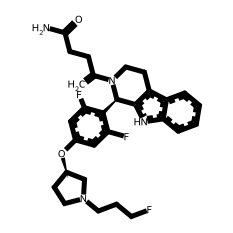 C=C(CCC(N)=O)N1CCc2c([nH]c3ccccc23)[C@H]1c1c(F)cc(O[C@@H]2CCN(CCCF)C2)cc1F